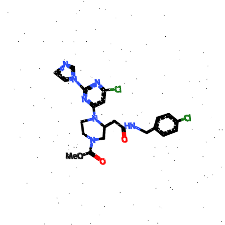 COC(=O)N1CCN(c2cc(Cl)nc(-n3ccnc3)n2)C(CC(=O)NCc2ccc(Cl)cc2)C1